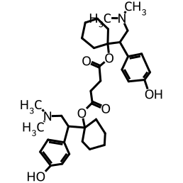 CN(C)CC(c1ccc(O)cc1)C1(OC(=O)CCC(=O)OC2(C(CN(C)C)c3ccc(O)cc3)CCCCC2)CCCCC1